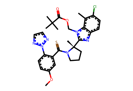 COc1ccc(-n2nccn2)c(C(=S)N2CCC[C@@]2(C)c2nc3ccc(Cl)c(C)c3n2COC(=O)C(C)(C)C)c1